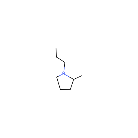 CC[CH]N1CCCC1C